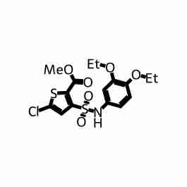 CCOc1ccc(NS(=O)(=O)c2cc(Cl)sc2C(=O)OC)cc1OCC